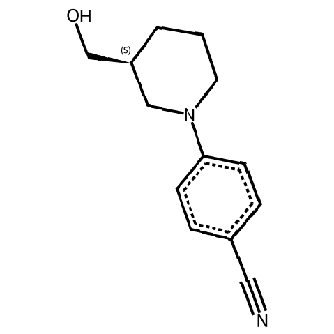 N#Cc1ccc(N2CCC[C@H](CO)C2)cc1